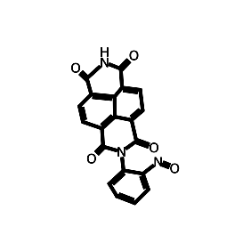 O=Nc1ccccc1N1C(=O)c2ccc3c4c(ccc(c24)C1=O)C(=O)NC3=O